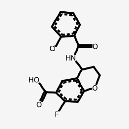 O=C(O)c1cc2c(cc1F)OCCC2NC(=O)c1ccccc1Cl